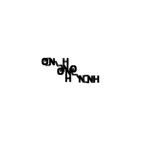 O=C(CCCN1CCNCC1)NNC(=O)CCCN1CCOCC1